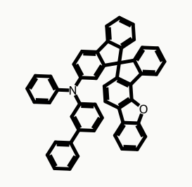 c1ccc(-c2cccc(N(c3ccccc3)c3ccc4c(c3)C3(c5ccccc5-4)c4ccccc4-c4c3ccc3c4oc4ccccc43)c2)cc1